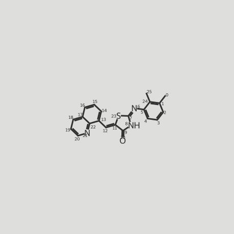 Cc1cccc(N=C2NC(=O)C(=Cc3cccc4cccnc34)S2)c1C